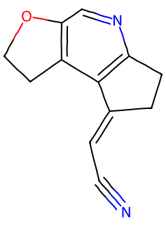 N#CC=C1CCc2ncc3c(c21)CCO3